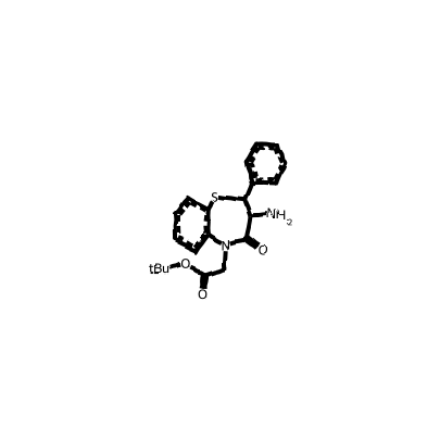 CC(C)(C)OC(=O)CN1C(=O)C(N)C(c2ccccc2)Sc2ccccc21